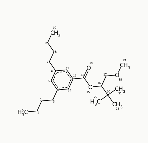 CCCCc1cc(CCCC)cc(C(=O)OC(COC)C(C)(C)C)c1